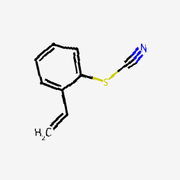 C=Cc1ccccc1SC#N